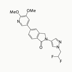 COc1cc(-c2ccc3c(c2)CN(c2cnn(CC(F)F)c2)C3=O)cnc1OC